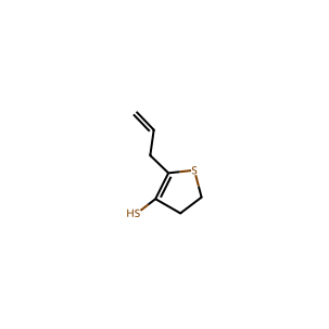 C=CCC1=C(S)CCS1